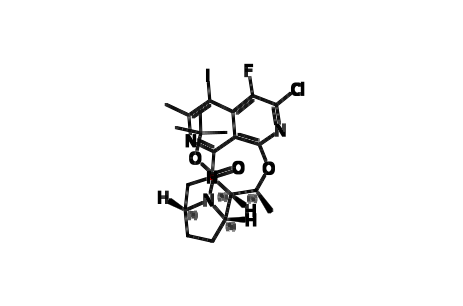 Cc1nc2c3c(nc(Cl)c(F)c3c1I)O[C@@H](C)[C@@H]1[C@@H]3CC[C@H](CN21)N3C(=O)OC(C)(C)C